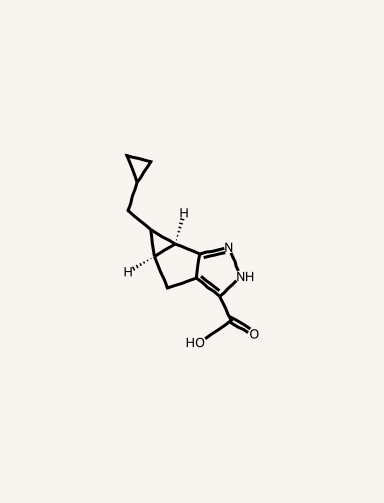 O=C(O)c1[nH]nc2c1C[C@H]1C(CC3CC3)[C@@H]21